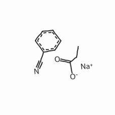 CCC(=O)[O-].N#Cc1ccccc1.[Na+]